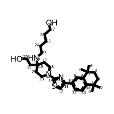 CC1(C)CCC(C)(C)c2cc(-c3csc(N4CCC(CCO)(NCCCCCO)CC4)n3)ccc21